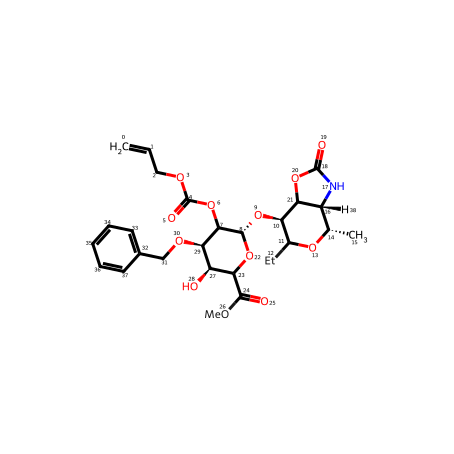 C=CCOC(=O)OC1[C@H](O[C@@H]2C(CC)O[C@@H](C)[C@H]3NC(=O)OC23)OC(C(=O)OC)[C@@H](O)[C@H]1OCc1ccccc1